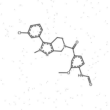 COc1cc(C(=O)N2CCc3c(nn(C)c3-c3cccc(Cl)c3)C2)ccc1NC=O